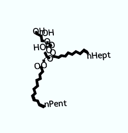 CCCCC/C=C\C/C=C\CCCCCCCC(=O)OC[C@H](COP(=O)(O)OC[C@@H](O)CO)OC(=O)CCCCCCC/C=C\CCCCCCC